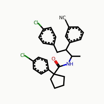 CC(NC(=O)C1(c2ccc(Cl)cc2)CCCC1)C(Cc1ccc(Cl)cc1)c1cccc(C#N)c1